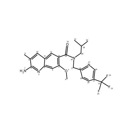 COc1cc2nc(N)c(C)cc2cc1C(=O)N(Cc1ccc(C(F)(F)F)cn1)CC(C)C